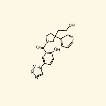 O=C(c1cc(-n2cnnn2)ccc1O)N1CCC(CCO)(c2ccccc2)C1